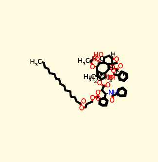 CCCCCCCCCCCCCCCC1OCC(COC(=O)O[C@@H](C(=O)O[C@H]2C[C@@]3(O)[C@@H](OC(=O)c4ccccc4)[C@@H]4[C@]5(OC(C)=O)CO[C@@H]5C[C@H](O)[C@@]4(C)C(=O)[C@H](OC(C)=O)C(=C2C)C3(C)C)[C@H](NC(=O)c2ccccc2)c2ccccc2)O1